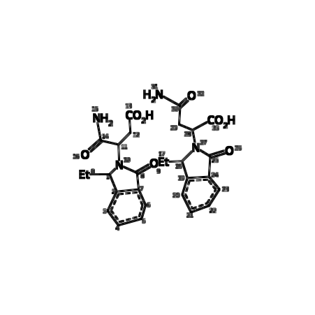 CCC1c2ccccc2C(=O)N1C(CC(=O)O)C(N)=O.CCC1c2ccccc2C(=O)N1C(CC(N)=O)C(=O)O